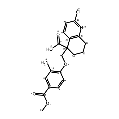 COC(=O)c1ccc(OCC2(C(=O)O)CCCc3nc(Cl)ccc32)c(N)c1